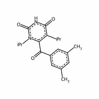 Cc1cc(C)cc(C(=O)c2c(C(C)C)c(=O)[nH]c(=O)n2C(C)C)c1